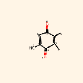 CC1=C(C)C(=O)C(C#N)=CC1=O